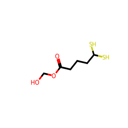 O=C(CCCC(S)S)OCO